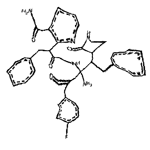 NC(=O)c1cccnc1C(Cc1ccccc1)C(=O)NC(N)(C(=O)c1ccc(F)cc1)C(Cc1ccccc1)C1CNC1=O